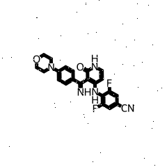 N#Cc1cc(F)c(Nc2cc[nH]c(=O)c2C(=N)c2ccc(N3CCOCC3)cc2)c(F)c1